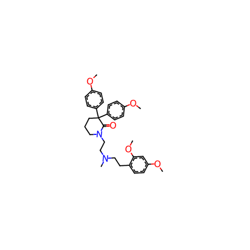 COc1ccc(C2(c3ccc(OC)cc3)CCCN(CCN(C)CCc3ccc(OC)cc3OC)C2=O)cc1